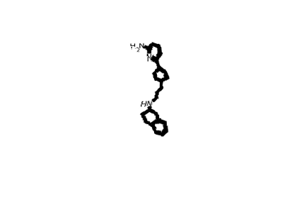 Nc1cccc(-c2ccc(CCCNC3CCc4ccccc4C3)cc2)n1